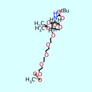 CC(C)(C)OC(=O)N[C@H]1[C@H]2OC[C@](COCCOCCOCCOCCOS(C)(=O)=O)(O2)[C@@H]2OC(C)(C)O[C@H]12